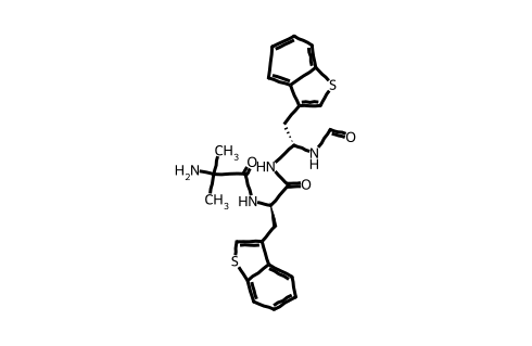 CC(C)(N)C(=O)N[C@H](Cc1csc2ccccc12)C(=O)N[C@H](Cc1csc2ccccc12)NC=O